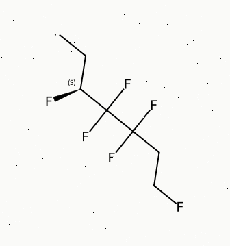 [CH2]C[C@H](F)C(F)(F)C(F)(F)CCF